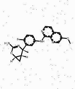 COc1cnc2c(Nc3ccc(F)c([C@@]4(C)N=C(N)O[C@H]5C[C@H]54)c3)nccc2c1